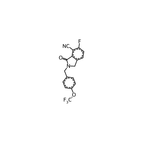 N#Cc1c(F)ccc2c1C(=O)N(Cc1ccc(OC(F)(F)F)cc1)C2